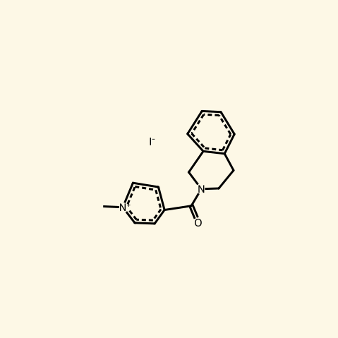 C[n+]1ccc(C(=O)N2CCc3ccccc3C2)cc1.[I-]